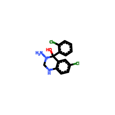 NN1CNc2ccc(Cl)cc2C1(O)c1ccccc1Cl